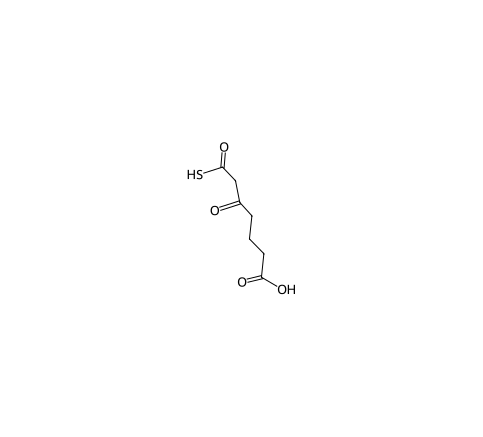 O=C(O)CCCC(=O)CC(=O)S